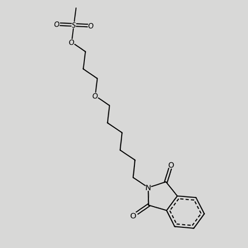 CS(=O)(=O)OCCCOCCCCCCN1C(=O)c2ccccc2C1=O